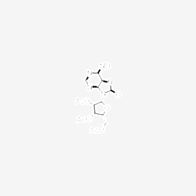 CC(=O)OC[C@H]1O[C@@H](N2C(=O)N=C3C(=N)N=CN=C32)[C@H](OC(C)=O)[C@@H]1OC(C)=O